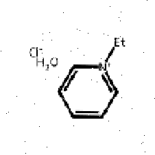 CC[n+]1ccccc1.O.[Cl-]